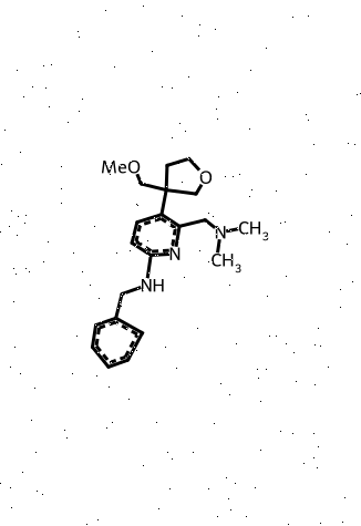 COCC1(c2ccc(NCc3ccccc3)nc2CN(C)C)CCOC1